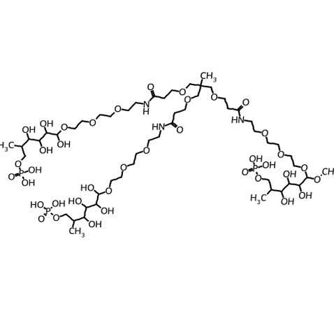 COC(OCCOCCOCCNC(=O)CCOCC(C)(COCCC(=O)NCCOCCOCCOC(O)C(O)C(O)C(O)C(C)COP(=O)(O)O)COCCC(=O)NCCOCCOCCOC(O)C(O)C(O)C(O)C(C)COP(=O)(O)O)C(O)C(O)C(O)C(C)COP(=O)(O)O